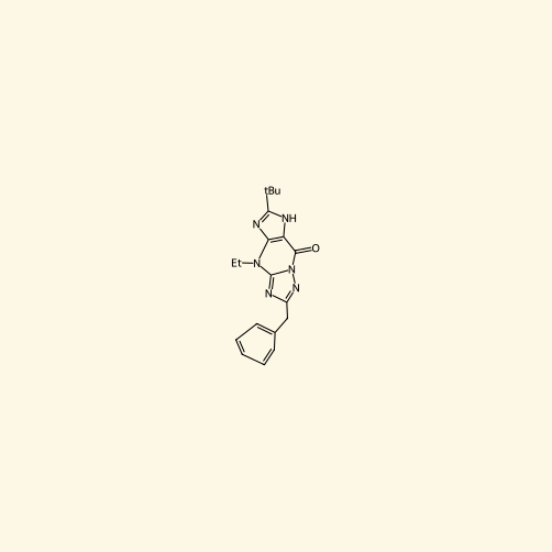 CCn1c2nc(C(C)(C)C)[nH]c2c(=O)n2nc(Cc3ccccc3)nc12